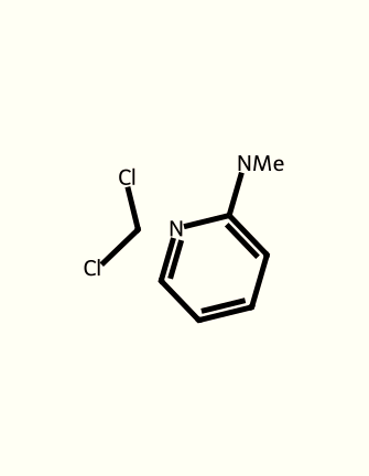 CNc1ccccn1.ClCCl